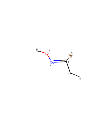 CC/C(Br)=N/OC